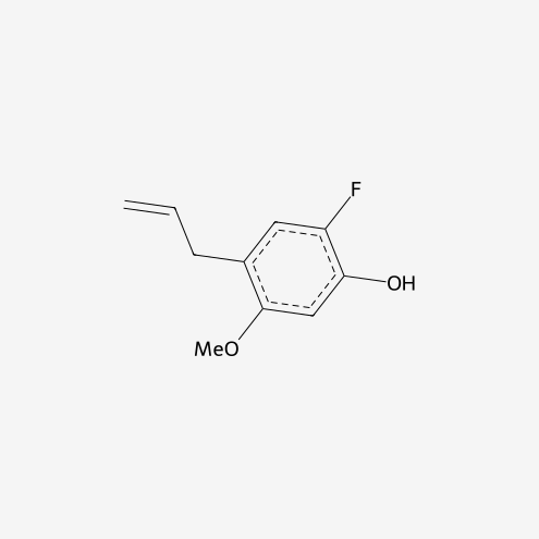 C=CCc1cc(F)c(O)cc1OC